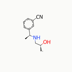 [CH2][C@H](O)CN[C@@H](C)c1cccc(C#N)c1